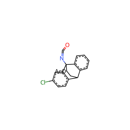 CC(=O)OC1CC2c3ccccc3C1(N=C=O)c1cc(Cl)ccc12